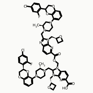 C[C@H]1CN(c2cccc3c2OC(c2ccc(Cl)cc2F)CO3)CCN1Cc1nc2ccc(C(=O)OCN3c4ccc(C(=O)O)nc4N(C[C@@H]4CCO4)C3CN3CCN(c4cccc5c4O[C@H](c4ccc(Cl)cc4F)CO5)C[C@@H]3C)nc2n1C[C@@H]1CCO1